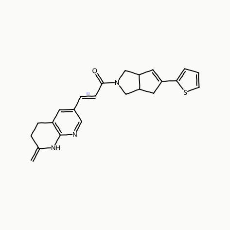 C=C1CCc2cc(/C=C/C(=O)N3CC4C=C(c5cccs5)CC4C3)cnc2N1